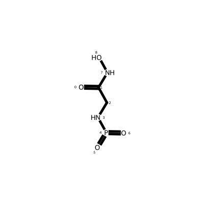 O=C(CNP(=O)=O)NO